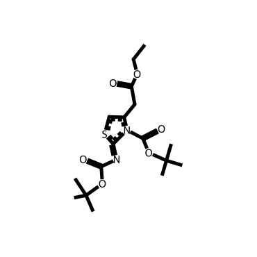 CCOC(=O)Cc1csc(=NC(=O)OC(C)(C)C)n1C(=O)OC(C)(C)C